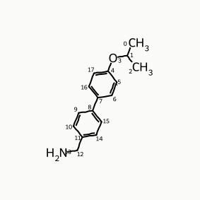 CC(C)Oc1[c]cc(-c2ccc(CN)cc2)cc1